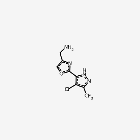 NCc1coc(-c2[nH]nc(C(F)(F)F)c2Cl)n1